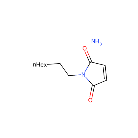 CCCCCCCCN1C(=O)C=CC1=O.N